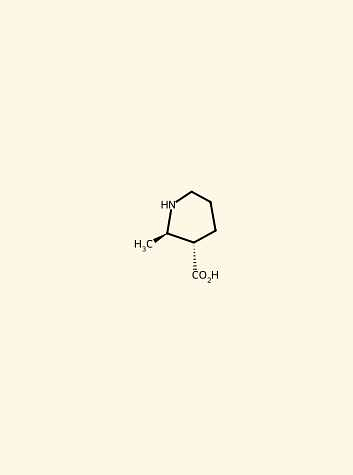 C[C@H]1NCCC[C@@H]1C(=O)O